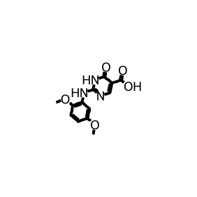 COc1ccc(OC)c(Nc2ncc(C(=O)O)c(=O)[nH]2)c1